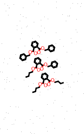 CCCCOC(=O)c1ccccc1C(=O)OCCCC.CCCCOC(=O)c1ccccc1C(=O)OCc1ccccc1.O=C(OCc1ccccc1)c1ccccc1C(=O)OCc1ccccc1